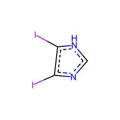 Ic1nc[nH]c1I